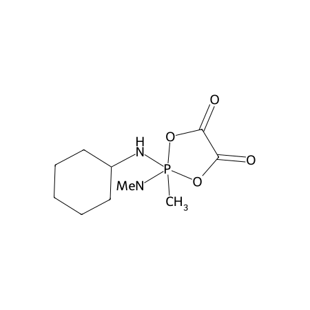 CNP1(C)(NC2CCCCC2)OC(=O)C(=O)O1